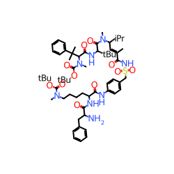 C/C(=C\C(C(C)C)N(C)C(=O)C(NC(=O)C(N(C)C(=O)OC(C)(C)C)C(C)(C)c1ccccc1)C(C)(C)C)C(=O)NS(=O)(=O)Cc1ccc(NC(=O)C(CCCCN(C)C(=O)OC(C)(C)C)NC(=O)C(N)Cc2ccccc2)cc1